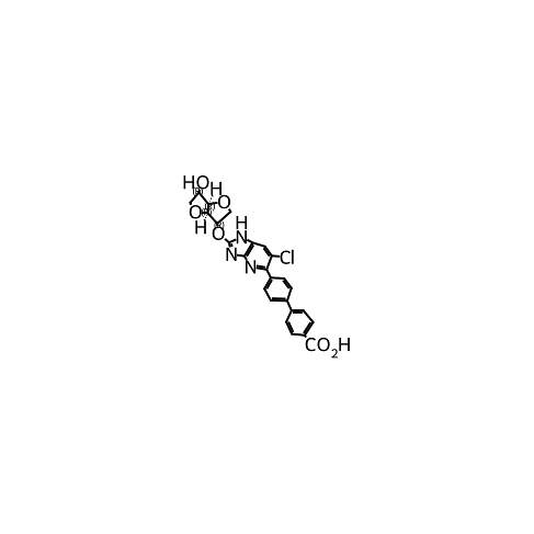 O=C(O)c1ccc(-c2ccc(-c3nc4nc(O[C@@H]5CO[C@H]6[C@@H]5OC[C@H]6O)[nH]c4cc3Cl)cc2)cc1